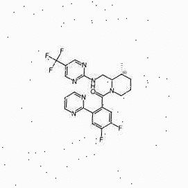 C[C@@H]1CCCN(C(=O)c2cc(F)c(F)cc2-c2ncccn2)C1CNc1ncc(C(F)(F)F)cn1